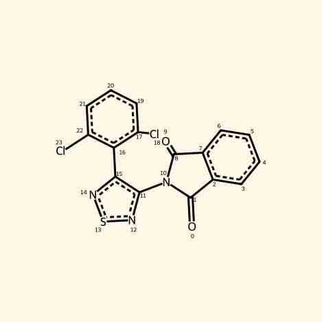 O=C1c2ccccc2C(=O)N1c1nsnc1-c1c(Cl)cccc1Cl